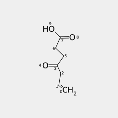 C=CCC(=O)CCC(=O)O